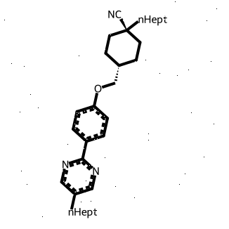 CCCCCCCc1cnc(-c2ccc(OC[C@H]3CC[C@@](C#N)(CCCCCCC)CC3)cc2)nc1